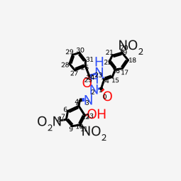 O=C(N/N=C/c1cc([N+](=O)[O-])cc([N+](=O)[O-])c1O)/C(=C/c1ccc([N+](=O)[O-])cc1)NC(=O)c1ccccc1